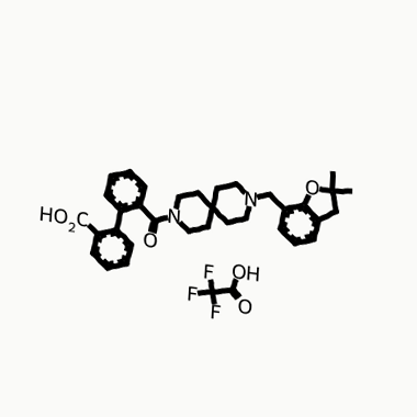 CC1(C)Cc2cccc(CN3CCC4(CC3)CCN(C(=O)c3ccccc3-c3ccccc3C(=O)O)CC4)c2O1.O=C(O)C(F)(F)F